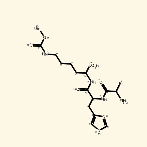 CCC(N)C(=O)NC(Cc1c[nH]cn1)C(=O)NC(CCCCNC(=O)OC(C)(C)C)C(=O)O